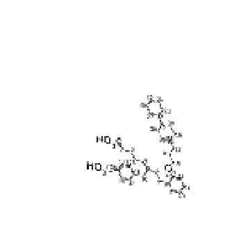 O=C(O)CCCC[C@@H](CCc1ccccc1OCCCN1CCN(c2ccccc2)CC1)Cc1ccc(C(=O)O)cc1